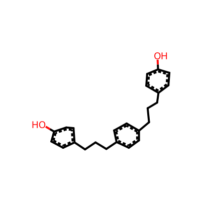 Oc1ccc(CCCc2ccc(CCCc3ccc(O)cc3)cc2)cc1